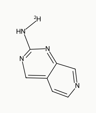 [2H]Nc1ncc2ccncc2n1